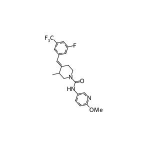 COc1ccc(NC(=O)N2CCC(=Cc3cc(F)cc(C(F)(F)F)c3)C(C)C2)cn1